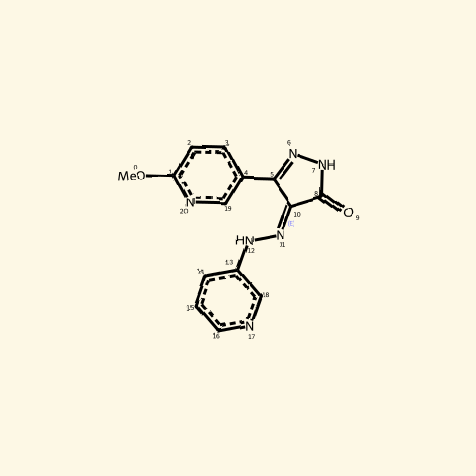 COc1ccc(C2=NNC(=O)/C2=N/Nc2cccnc2)cn1